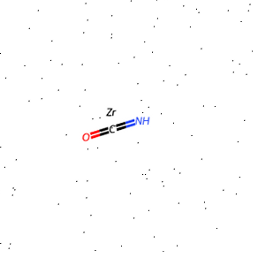 N=C=O.[Zr]